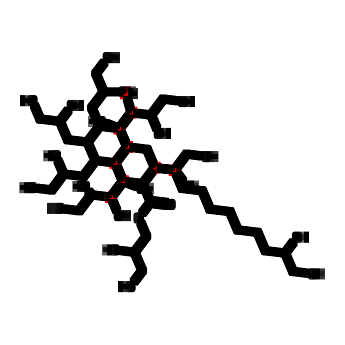 O=C(OCC(O)CO)C(CC(O)CO)C(CC(O)CO)C(CC(O)CO)C(CC(O)CO)C(CC(O)CO)C(CC(O)CO)C(CC(O)CO)C(CCCCCCCCCCC(O)CO)CC(O)CO